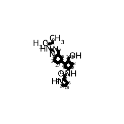 CC[C@H](C)Nc1ncc2cc(-c3cc(NC(=O)c4ccc[nH]4)ccc3CO)ccc2n1